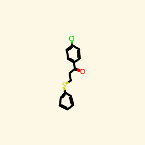 O=C(CCSc1ccccc1)c1ccc(Cl)cc1